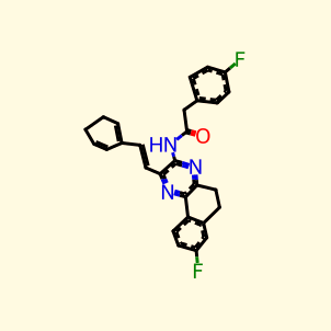 O=C(Cc1ccc(F)cc1)Nc1nc2c(nc1/C=C/C1=CCCC=C1)-c1ccc(F)cc1CC2